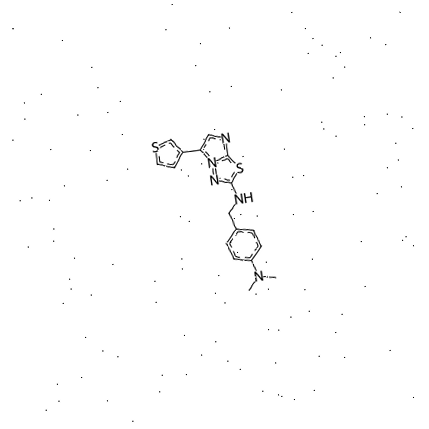 CN(C)c1ccc(CNc2nn3c(-c4ccsc4)cnc3s2)cc1